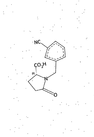 N#Cc1cccc(CN2C(=O)CC[C@@H]2C(=O)O)c1